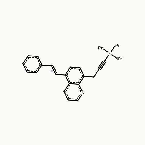 CC(C)[Si](C#CCc1ccc(/C=C/c2ccccc2)c2cccnc12)(C(C)C)C(C)C